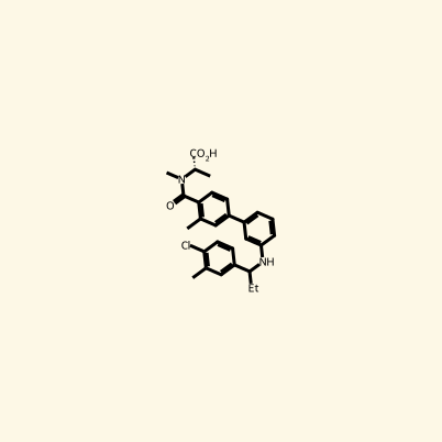 CCC(Nc1cccc(-c2ccc(C(=O)N(C)[C@@H](C)C(=O)O)c(C)c2)c1)c1ccc(Cl)c(C)c1